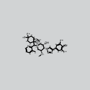 CO[C@H]1C[SH](C(c2ncccc2C)C2(O)CCC(F)(F)CC2)[C@H](CO)[C@H](O)[C@@H]1n1cc(-c2cc(F)c(Br)c(F)c2)nn1